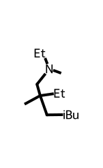 CCC(C)CC(C)(CC)CN(C)CC